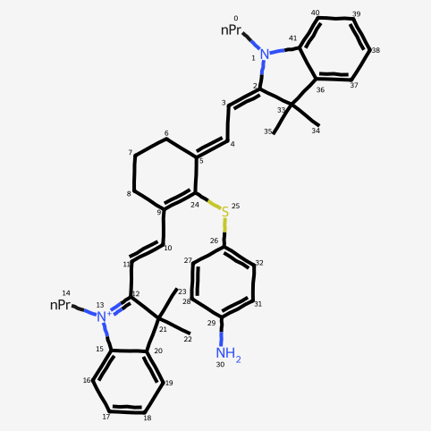 CCCN1/C(=C/C=C2\CCCC(/C=C/C3=[N+](CCC)c4ccccc4C3(C)C)=C2Sc2ccc(N)cc2)C(C)(C)c2ccccc21